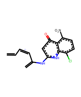 C=C/C=C\C(=C)Nc1cc(=O)c2c([N+](=O)[O-])ccc(Cl)c2[nH]1